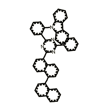 c1ccc(-c2nc(-c3ccccc3-n3c4ccccc4c4ccccc43)nc(-c3cccc4c(-c5cccc6ccccc56)cccc34)n2)cc1